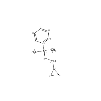 C[Si](C)(CNC1CC1)c1ccccc1